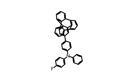 Fc1ccc(N(c2ccccc2)c2ccc(-c3ccc4c(c3)-c3c5cccc3-c3cccc-4c3-c3ccccc3-5)cc2)cc1